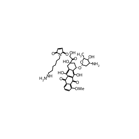 COc1cccc2c1C(=O)c1c(O)c3c(c(O)c1C2=O)C[C@@](O)(C(=O)CO)C[C@@H]3O[C@H]1C[C@H](N)[C@H](O)[C@H](C)O1.NNCCCCCCN1C(=O)C=CC1=O